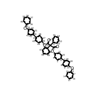 O=C(Oc1ccc(-c2ccc(Oc3ccccc3)cc2)cc1)C(C(=O)Oc1ccc(-c2ccc(Oc3ccccc3)cc2)cc1)(c1ccccc1)c1ccccc1